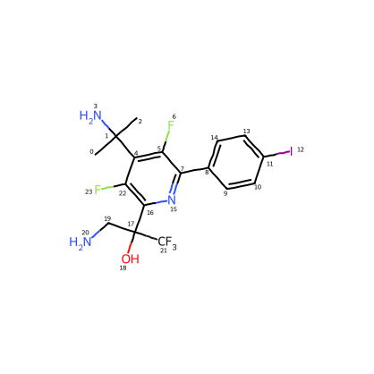 CC(C)(N)c1c(F)c(-c2ccc(I)cc2)nc(C(O)(CN)C(F)(F)F)c1F